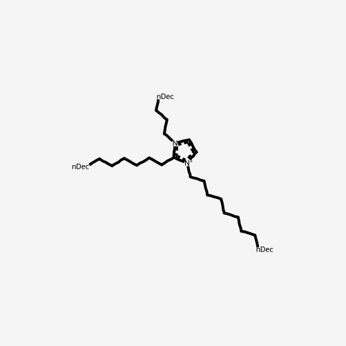 CCCCCCCCCCCCCCCCCC[n+]1ccn(CCCCCCCCCCCCC)c1CCCCCCCCCCCCCCCC